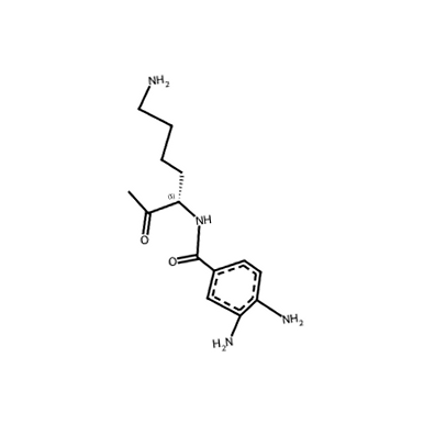 CC(=O)[C@H](CCCCN)NC(=O)c1ccc(N)c(N)c1